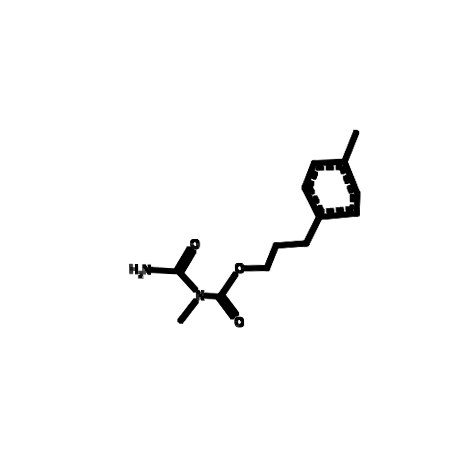 Cc1ccc(CCCOC(=O)N(C)C(N)=O)cc1